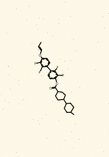 C/C=C/Oc1ccc(-c2ccc(OC(=O)C3CCC(C4CCC(C)CC4)CC3)c(F)c2F)c(F)c1F